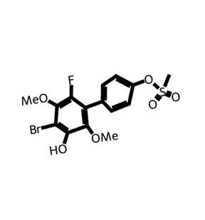 COc1c(F)c(-c2ccc(OS(C)(=O)=O)cc2)c(OC)c(O)c1Br